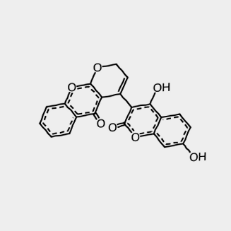 O=c1oc2cc(O)ccc2c(O)c1C1=CCOc2oc3ccccc3c(=O)c21